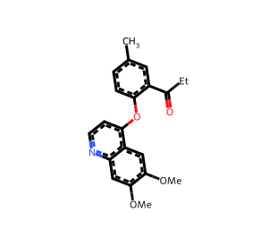 CCC(=O)c1cc(C)ccc1Oc1ccnc2cc(OC)c(OC)cc12